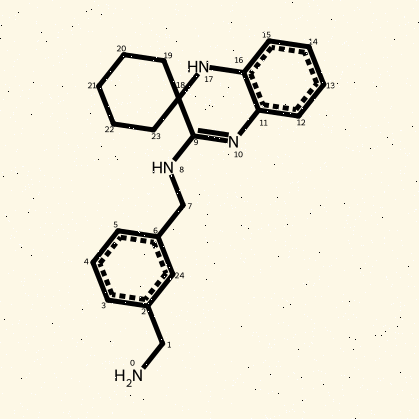 NCc1cccc(CNC2=Nc3ccccc3NC23CCCCC3)c1